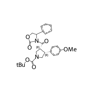 COc1ccc([C@@H]2CN(C(=O)OC(C)(C)C)C[C@@H]2C(=O)N2C(=O)OCC2c2ccccc2)cc1